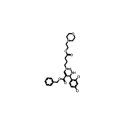 O=C(CCCN1C=C(C(=O)OCc2ccccc2)C(c2ccc(Cl)cc2Cl)NS1)OCCN1CCOCC1